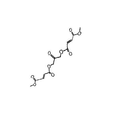 COC(=O)C=CC(=O)OCC(=O)COC(=O)C=CC(=O)OC